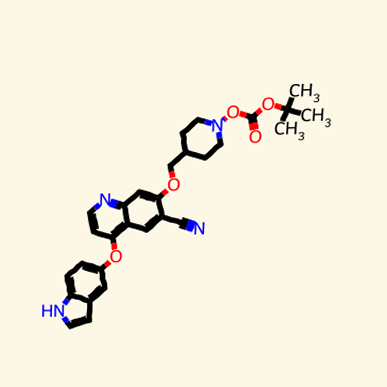 CC(C)(C)OC(=O)ON1CCC(COc2cc3nccc(Oc4ccc5[nH]ccc5c4)c3cc2C#N)CC1